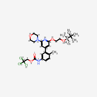 Cc1ccc(NC(=O)OCC(Cl)(Cl)Cl)cc1-c1cc(OCCO[Si](C)(C)C(C)(C)C)nc(N2CCOCC2)c1